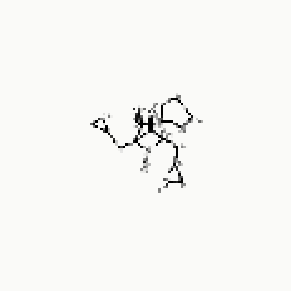 [N-]=[N+]1C2(CC3CO3)C(=O)C3(CCCC3)C1(CC1CO1)C2=O